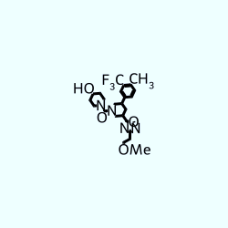 COCCc1noc(C2CC(c3ccc(C)c(C(F)(F)F)c3)CN(C(=O)N3CCC(O)CC3)C2)n1